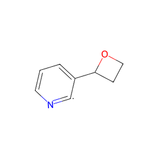 [c]1ncccc1C1CCO1